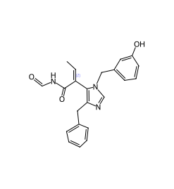 C/C=C(\C(=O)NC=O)c1c(Cc2ccccc2)ncn1Cc1cccc(O)c1